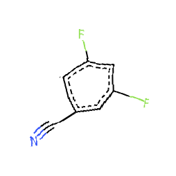 N#Cc1[c]c(F)cc(F)c1